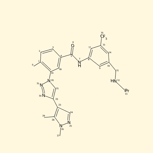 Cc1ccc(C(=O)Nc2cc(CNC(C)C)cc(C(F)(F)F)c2)cc1-n1cc(-c2cnn(C)c2C)nn1